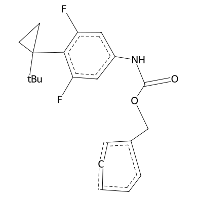 CC(C)(C)C1(c2c(F)cc(NC(=O)OCc3ccccc3)cc2F)CC1